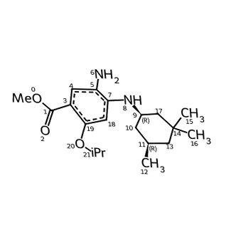 COC(=O)c1cc(N)c(N[C@@H]2C[C@H](C)CC(C)(C)C2)cc1OC(C)C